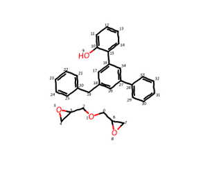 C(OCC1CO1)C1CO1.Oc1ccccc1-c1cc(Cc2ccccc2)cc(-c2ccccc2)c1